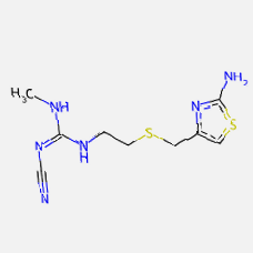 CN/C(=N/C#N)NCCSCc1csc(N)n1